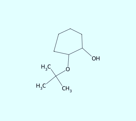 CC(C)(C)OC1CCCCC1O